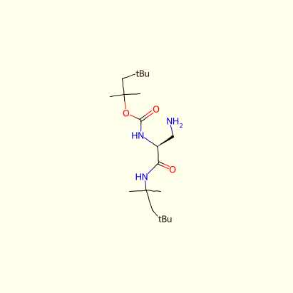 CC(C)(C)CC(C)(C)NC(=O)[C@H](CN)NC(=O)OC(C)(C)CC(C)(C)C